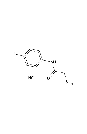 Cl.NCC(=O)Nc1ccc(I)cc1